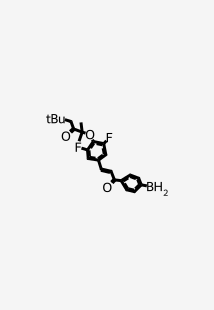 Bc1ccc(C(=O)/C=C/c2cc(F)c(OC(C)(C)C(=O)CC(C)(C)C)c(F)c2)cc1